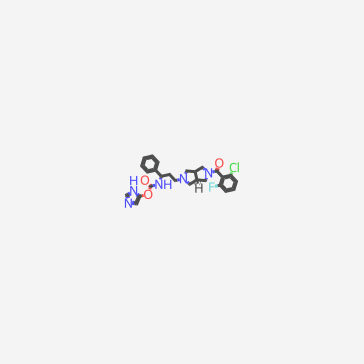 O=C(NC(CCN1CC2CN(C(=O)c3c(F)cccc3Cl)C[C@@H]2C1)c1ccccc1)Oc1cnc[nH]1